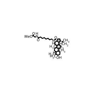 C=C(C)[C@@H]1CC[C@]2(C(=O)NCCCCCCCC(=O)NCC(=O)OC)CC[C@]3(C)[C@H](CCC4[C@@]5(C)CC[C@H](O)C(C)(C)[C@@H]5CC[C@]43C)[C@@H]12